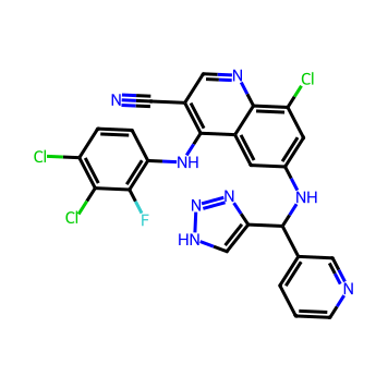 N#Cc1cnc2c(Cl)cc(NC(c3cccnc3)c3c[nH]nn3)cc2c1Nc1ccc(Cl)c(Cl)c1F